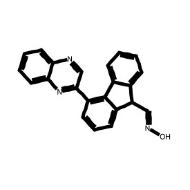 ON=CC1c2ccccc2-c2c(-c3cnc4ccccc4n3)cccc21